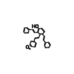 C=O.Oc1ccc(C=Cc2ccccc2)c(C=Cc2ccccc2)c1C=Cc1ccccc1